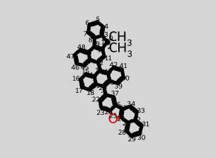 CC1(C)c2ccccc2-c2c1cc(-c1c3ccccc3c(-c3ccc4oc5c6ccccc6ccc5c4c3)c3ccccc13)c1ccccc21